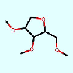 COCC1OCC(OC)C1OC